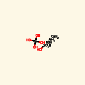 O=S(=O)(O)O.O[Si](O)(O)O.[AlH3].[CaH2].[NaH]